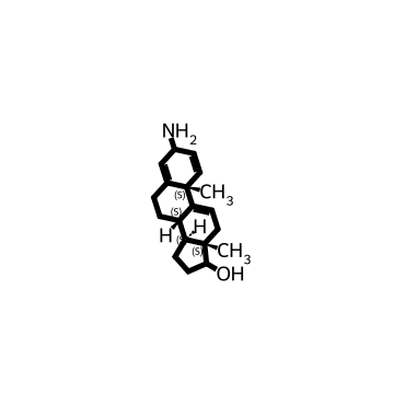 C[C@]12C=CC(N)C=C1CC[C@@H]1C2=CC[C@]2(C)C(O)CC[C@@H]12